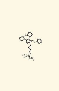 CN(C)CCCOCc1nc2c(n1CCc1ccccc1)-c1ccccc1Sc1ccccc1-2